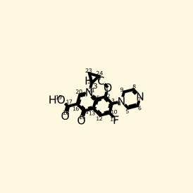 COc1c(N2C=CN=CC2)c(F)cc2c(=O)c(C(=O)O)cn(C3CC3)c12